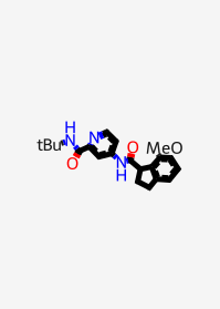 COc1cccc2c1C(C(=O)Nc1ccnc(C(=O)NC(C)(C)C)c1)CC2